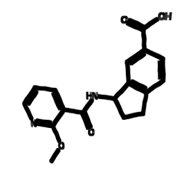 COc1ncccc1C(=O)NC1CCc2ccc(C(=O)O)cc21